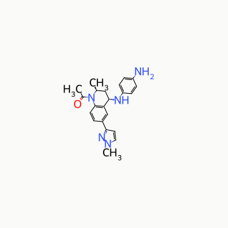 CC(=O)N1c2ccc(-c3ccn(C)n3)cc2[C@H](Nc2ccc(N)cc2)C[C@@H]1C